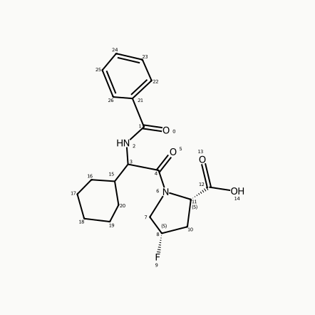 O=C(NC(C(=O)N1C[C@@H](F)C[C@H]1C(=O)O)C1CCCCC1)c1ccccc1